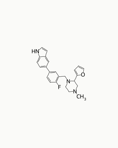 CN1CCN(Cc2cc(-c3ccc4[nH]ccc4c3)ccc2F)C(c2ccco2)C1